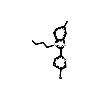 CCCCn1c(-c2ccc(Br)cn2)nc2cc(C)ccc21